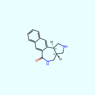 O=C1NC[C@H]2CNC[C@@H]2c2cc3ccccc3cc21